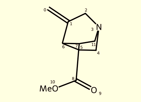 C=C1CN2CCC1C(C(=O)OC)C2